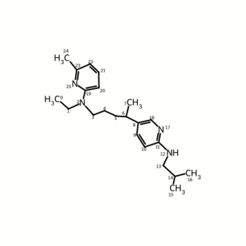 CCN(CCCC(C)c1ccc(NCC(C)C)nc1)c1cccc(C)n1